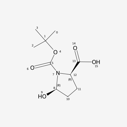 CC(C)(C)OC(=O)N1[C@H](O)CC[C@@H]1C(=O)O